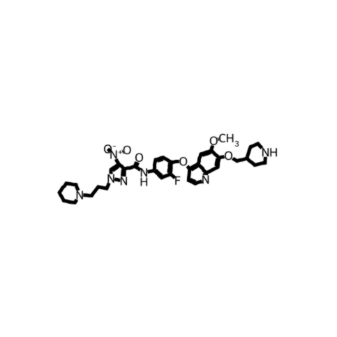 COc1cc2c(Oc3ccc(NC(=O)c4nn(CCCN5CCCCC5)cc4[N+](=O)[O-])cc3F)ccnc2cc1OCC1CCNCC1